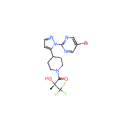 C[C@@](O)(C(=O)N1CCC(c2ccnn2-c2ncc(Br)cn2)CC1)C(F)(F)F